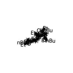 CCCCC(CC)Cc1sc(-c2c3cc(-c4sc(-c5ccc(-c6cc(F)c(-c7ccc(-c8sc(C)c9c8C(=O)N(CC(CC)CCCC)C9=O)s7)cc6F)s5)c5c4C(=S)N(CC(CC)CCCC)C5=S)sc3c(-c3cc(Cl)c(CC(CC)CCCC)s3)c3cc(C)sc23)cc1Cl